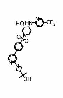 CC(C)(O)C1CN(c2cc(-c3ccc(S(=O)(=O)N4CC[C@@H](Nc5ccc(C(F)(F)F)cn5)[C@@H](O)C4)cc3)ccn2)C1